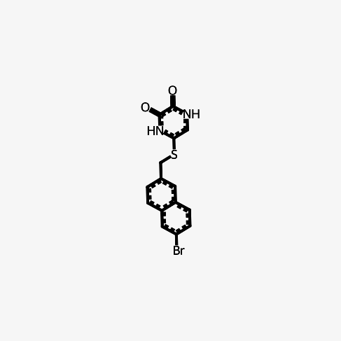 O=c1[nH]cc(SCc2ccc3cc(Br)ccc3c2)[nH]c1=O